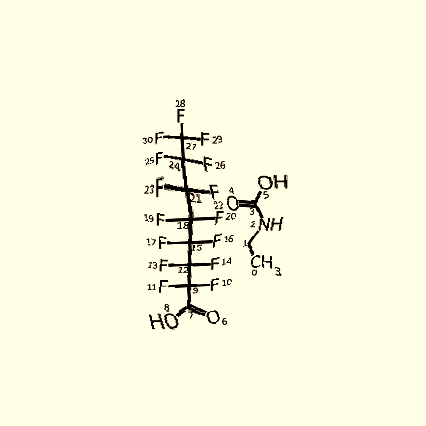 CCNC(=O)O.O=C(O)C(F)(F)C(F)(F)C(F)(F)C(F)(F)C(F)(F)C(F)(F)C(F)(F)F